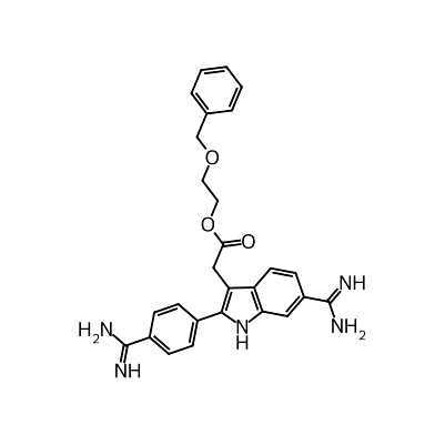 N=C(N)c1ccc(-c2[nH]c3cc(C(=N)N)ccc3c2CC(=O)OCCOCc2ccccc2)cc1